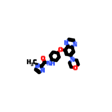 Cn1ccnc1C(=O)NC1CCC(Oc2cc(N3CCOCC3)cc3nccnc23)CC1